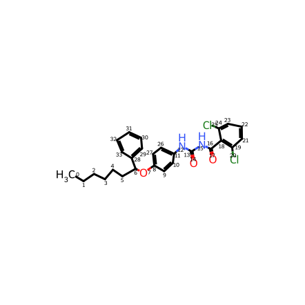 CCCCCCC(Oc1ccc(NC(=O)NC(=O)c2c(Cl)cccc2Cl)cc1)c1ccccc1